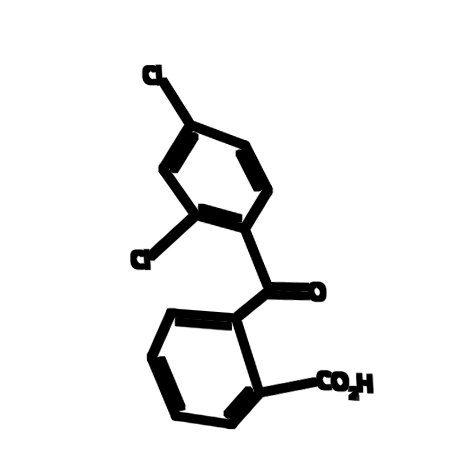 O=C(O)c1ccccc1C(=O)c1ccc(Cl)cc1Cl